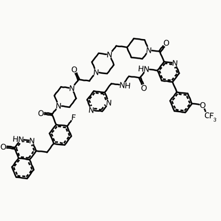 O=C(CNCc1ccncn1)Nc1cc(-c2cccc(OC(F)(F)F)c2)cnc1C(=O)N1CCC(CN2CCN(CC(=O)N3CCN(C(=O)c4cc(Cc5n[nH]c(=O)c6ccccc56)ccc4F)CC3)CC2)CC1